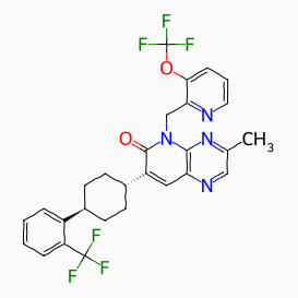 Cc1cnc2cc([C@H]3CC[C@H](c4ccccc4C(F)(F)F)CC3)c(=O)n(Cc3ncccc3OC(F)(F)F)c2n1